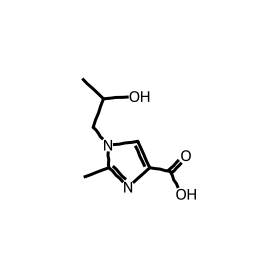 Cc1nc(C(=O)O)cn1CC(C)O